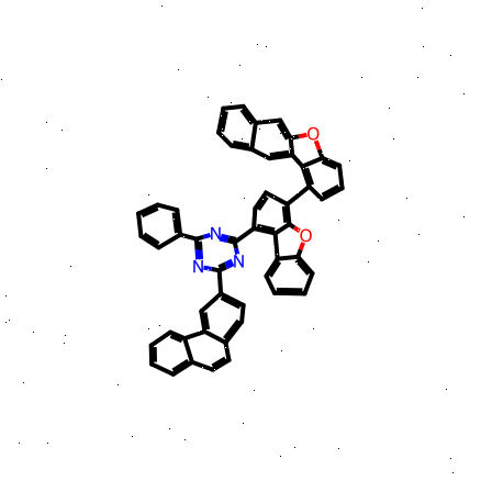 c1ccc(-c2nc(-c3ccc4ccc5ccccc5c4c3)nc(-c3ccc(-c4cccc5oc6cc7ccccc7cc6c45)c4oc5ccccc5c34)n2)cc1